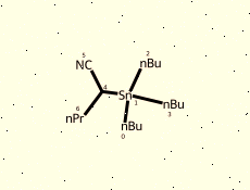 CCC[CH2][Sn]([CH2]CCC)([CH2]CCC)[CH](C#N)CCC